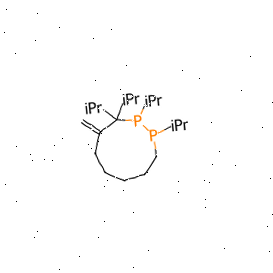 C=C1CCCCCP(C(C)C)P(C(C)C)C1(C(C)C)C(C)C